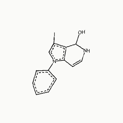 OC1NC=Cc2c1c(I)cn2-c1ccccc1